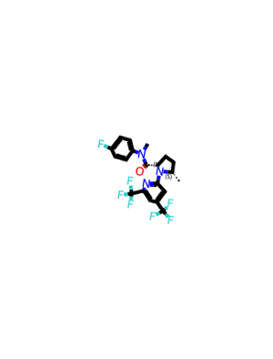 C[C@H]1CC[C@@H](C(=O)N(C)c2ccc(F)cc2)N1c1cc(C(F)(F)F)cc(C(F)(F)F)n1